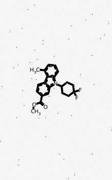 COC(=O)c1ccc2c3c(C)cccc3n(C3CCC(F)(F)CC3)c2c1